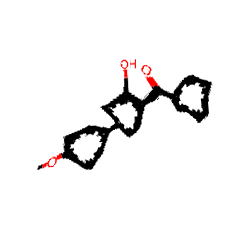 COc1ccc(-c2ccc(C(=O)c3ccccc3)c(O)c2)cc1